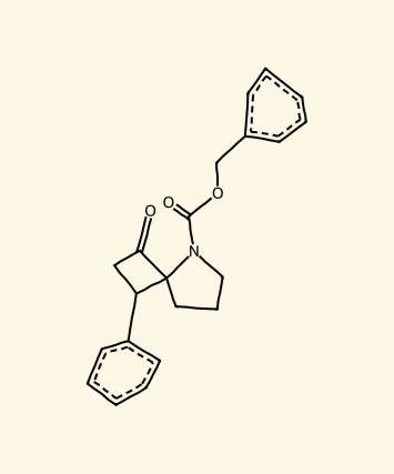 O=C(OCc1ccccc1)N1CCCC12C(=O)CC2c1ccccc1